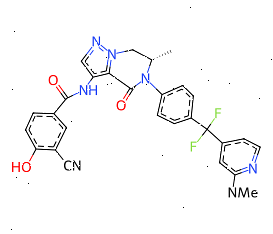 CNc1cc(C(F)(F)c2ccc(N3C(=O)c4c(NC(=O)c5ccc(O)c(C#N)c5)cnn4C[C@@H]3C)cc2)ccn1